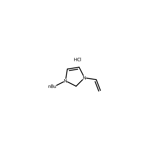 C=CN1C=CN(CCCC)C1.Cl